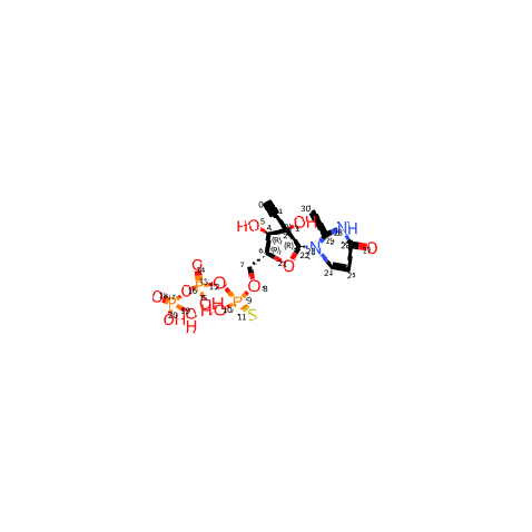 C#C[C@@]1(O)[C@H](O)[C@@H](COP(O)(=S)OP(=O)(O)OP(=O)(O)O)O[C@H]1N1C=CC(=O)NC1=C